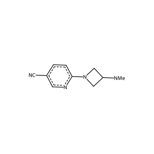 CNC1CN(c2ccc(C#N)cn2)C1